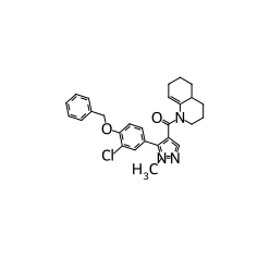 Cn1ncc(C(=O)N2CCCC3CCCC=C32)c1-c1ccc(OCc2ccccc2)c(Cl)c1